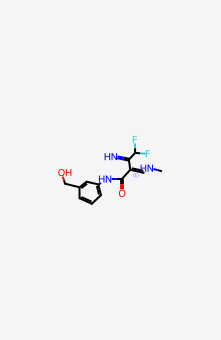 CN/C=C(\C(=N)C(F)F)C(=O)Nc1cccc(CO)c1